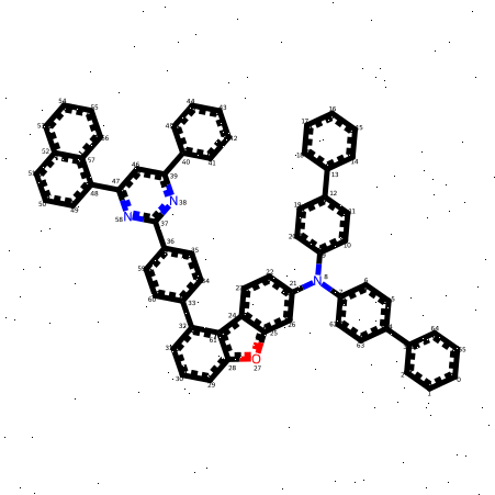 c1ccc(-c2ccc(N(c3ccc(-c4ccccc4)cc3)c3ccc4c(c3)oc3cccc(-c5ccc(-c6nc(-c7ccccc7)cc(-c7cccc8ccccc78)n6)cc5)c34)cc2)cc1